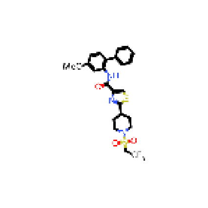 COc1ccc(-c2ccccc2)c(NC(=O)c2csc(C3CCN(S(=O)(=O)CC(F)(F)F)CC3)n2)c1